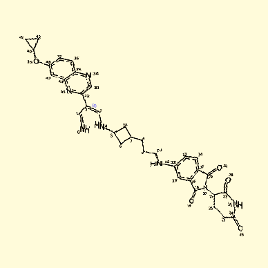 N=C/C(=C\NC1CC(CCCNc2ccc3c(c2)C(=O)N(C2CCC(=O)NC2=O)C3=O)C1)c1cnc2ccc(OC3CC3)cc2n1